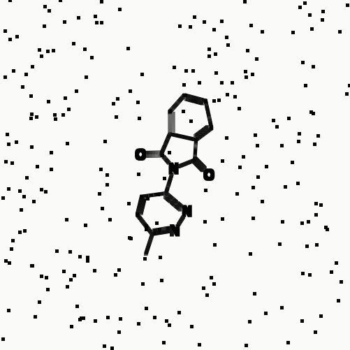 Cc1ccc(N2C(=O)c3ccccc3C2=O)nn1